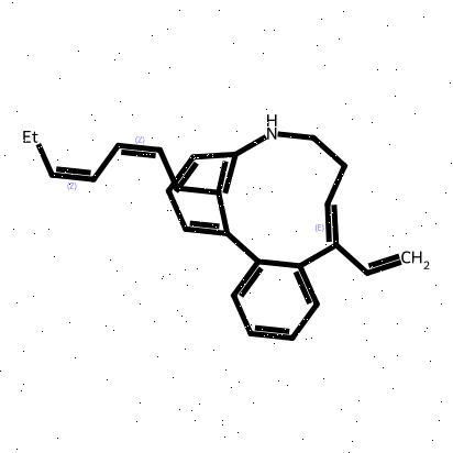 C=C/C1=C\CCNc2cccc(c2C/C=C\C=C/CC)-c2ccccc21